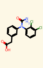 NC(=O)N(c1cccc(CC(=O)O)c1)c1cccc(Cl)c1Cl